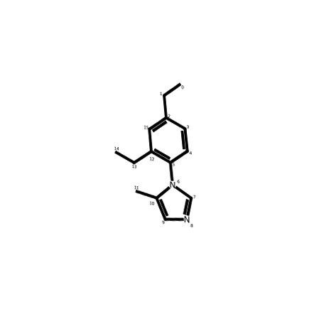 CCc1ccc(-n2cncc2C)c(CC)c1